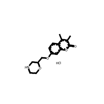 Cc1c(C)c2ccc(OCC3CNCCO3)cc2oc1=O.Cl